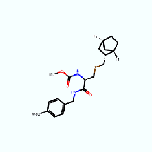 COc1ccc(CNC(=O)[C@H](CSC[C@@H]2C[C@H]3CC[C@H]2C3)NC(=O)OC(C)(C)C)cc1